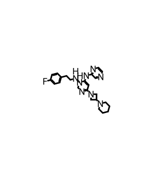 Fc1ccc(CCNN2CN=C(N3CC(N4CCCCC4)C3)C=C2Nc2cnccn2)cc1